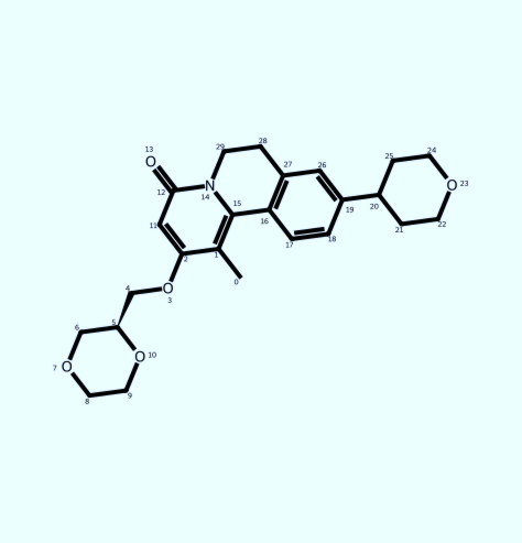 Cc1c(OC[C@@H]2COCCO2)cc(=O)n2c1-c1ccc(C3CCOCC3)cc1CC2